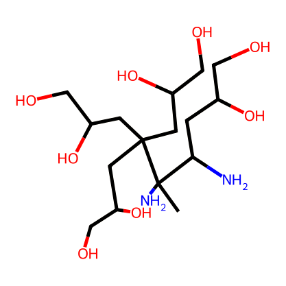 CC(N)(C(N)CC(O)CO)C(CC(O)CO)(CC(O)CO)CC(O)CO